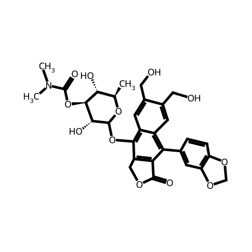 C[C@H]1OC(Oc2c3c(c(-c4ccc5c(c4)OCO5)c4cc(CO)c(CO)cc24)C(=O)OC3)[C@H](O)[C@@H](OC(=O)N(C)C)[C@@H]1O